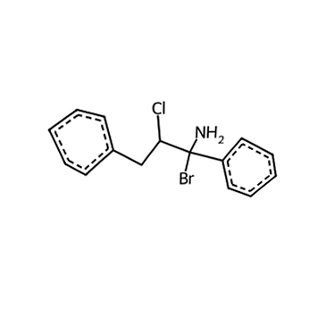 NC(Br)(c1ccccc1)C(Cl)Cc1ccccc1